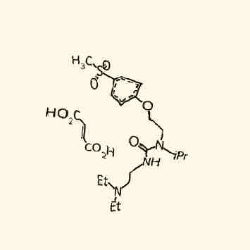 CCN(CC)CCNC(=O)N(CCOc1ccc(S(C)(=O)=O)cc1)C(C)C.O=C(O)C=CC(=O)O